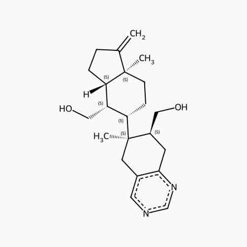 C=C1CC[C@H]2[C@@H](CO)[C@@H]([C@]3(C)Cc4cncnc4C[C@@H]3CO)CC[C@]12C